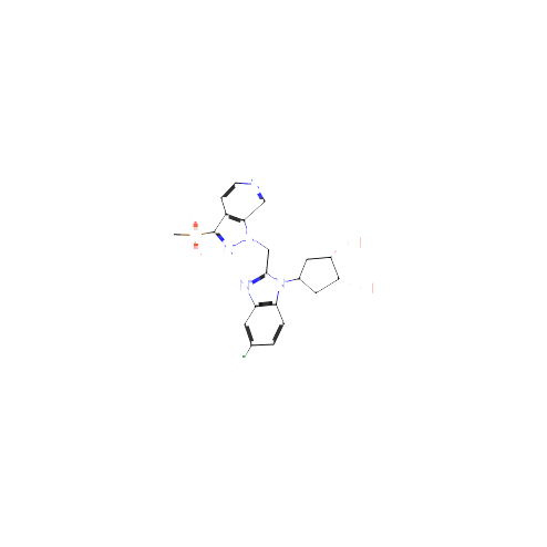 CS(=O)(=O)c1nn(Cc2nc3cc(Cl)ccc3n2C2C[C@@H](O)[C@H](O)C2)c2cnccc12